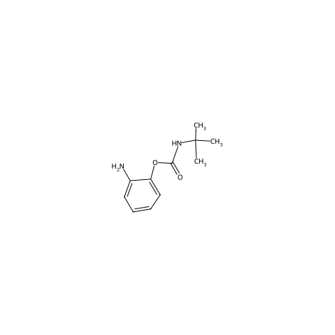 CC(C)(C)NC(=O)Oc1ccccc1N